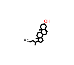 CC(=O)CCC(C)C1CCC2C3CC=C4C[C@@H](O)CCC4(C)C3CCC12C